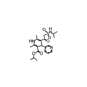 CC1=C(C(=O)CS(=O)(=O)NC(C)C)C(c2cccnc2)C(C(=O)OC(C)C)=C(C)N1